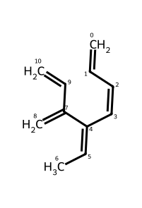 C=C/C=C\C(=C\C)C(=C)C=C